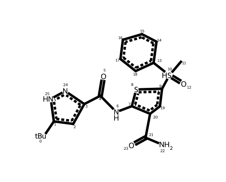 CC(C)(C)c1cc(C(=O)Nc2sc([SH](C)(=O)c3ccccc3)cc2C(N)=O)n[nH]1